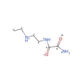 CCNCCNC(=O)C(N)=O